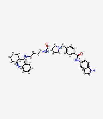 O=C(Nc1ccc2[nH]ccc2c1)c1ccc(CN2CC[C@H](C(=O)NCCCCNc3c4c(nc5ccccc35)CCCC4)C2)cc1